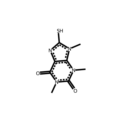 Cn1c(=O)c2nc(S)n(C)c2n(C)c1=O